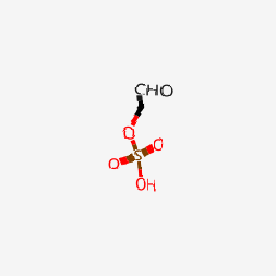 O=CCOS(=O)(=O)O